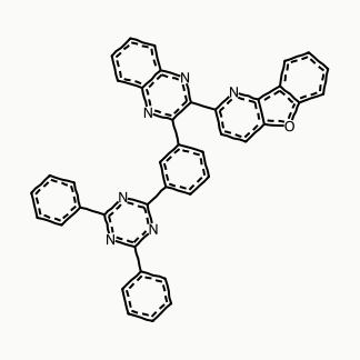 c1ccc(-c2nc(-c3ccccc3)nc(-c3cccc(-c4nc5ccccc5nc4-c4ccc5oc6ccccc6c5n4)c3)n2)cc1